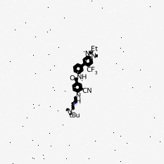 CCc1nc2cc(-c3cccc(NC(=O)c4ccc(NC/C=C/CN(C)C(C)(C)C)c(C#N)c4)c3)c(C(F)(F)F)cc2n1C